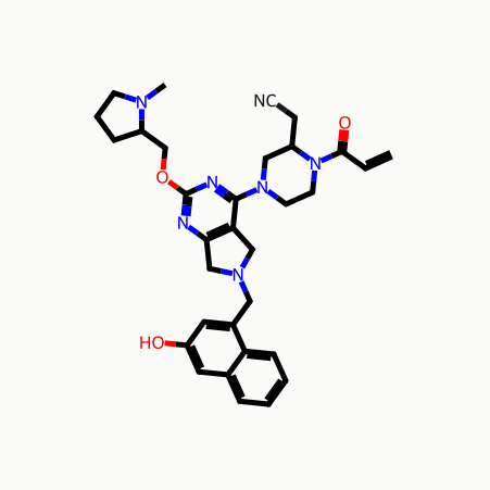 C=CC(=O)N1CCN(c2nc(OCC3CCCN3C)nc3c2CN(Cc2cc(O)cc4ccccc24)C3)CC1CC#N